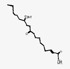 CCCCCC(O)CCC(=O)CCCCCCC=CC(=O)O